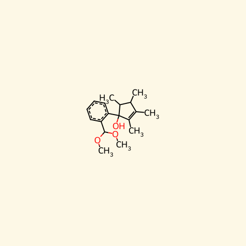 COC(OC)c1ccccc1C1(O)C(C)=C(C)C(C)C1C